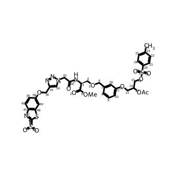 COC(=O)[C@H](COCc1cccc(OCC(COS(=O)(=O)c2ccc(C)cc2)OC(C)=O)c1)NC(=O)Cn1cc(COc2ccc3nc([SH](=O)=O)sc3c2)nn1